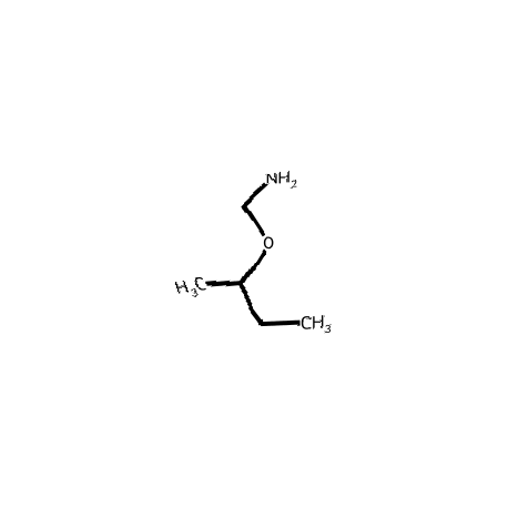 CCC(C)OCN